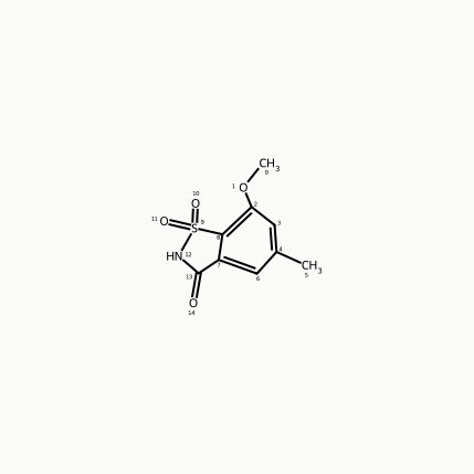 COc1cc(C)cc2c1S(=O)(=O)NC2=O